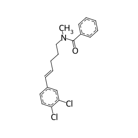 CN(CCCC=Cc1ccc(Cl)c(Cl)c1)C(=O)c1ccccc1